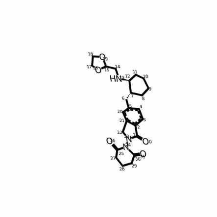 O=C1c2ccc(C[C@H]3CCCC[C@@H]3NCC3OCCO3)cc2CN1N1C(=O)CCCC1=O